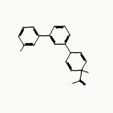 CNC(=O)C1(OC)C=CC(c2cccc(-c3cccc([N+](=O)[O-])c3)c2)C=C1